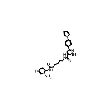 Nc1cc(F)ccc1NC(=O)CCCCCNC(=O)c1cc(-c2ccc(-n3cccc3)cc2)n[nH]1